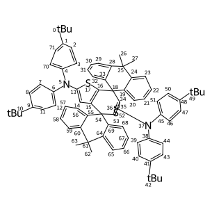 CC(C)(C)c1ccc(N(c2ccc(C(C)(C)C)cc2)c2cc3c(s2)C2(c4ccccc4C(C)(C)c4ccccc42)c2cc(N(c4ccc(C(C)(C)C)cc4)c4ccc(C(C)(C)C)cc4)sc2C32c3ccccc3C(C)(C)c3ccccc32)cc1